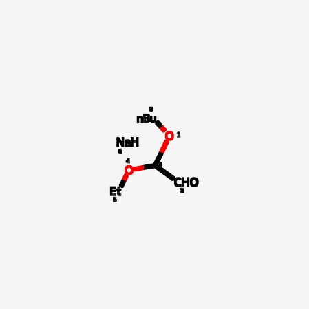 CCCCOC(C=O)OCC.[NaH]